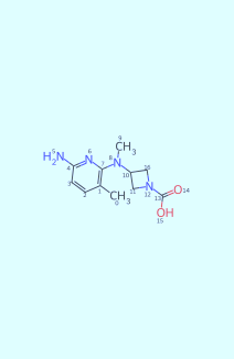 Cc1ccc(N)nc1N(C)C1CN(C(=O)O)C1